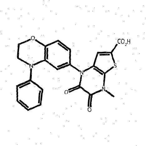 Cn1c(=O)c(=O)n(-c2ccc3c(c2)N(c2ccccc2)CCO3)c2cc(C(=O)O)sc21